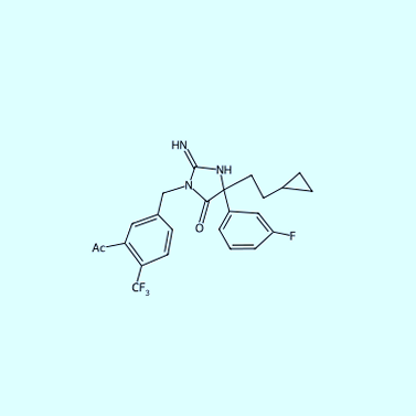 CC(=O)c1cc(CN2C(=N)NC(CCC3CC3)(c3cccc(F)c3)C2=O)ccc1C(F)(F)F